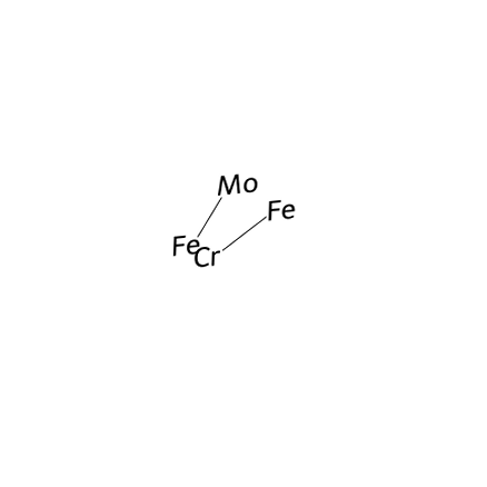 [Cr][Fe].[Fe][Mo]